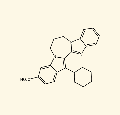 O=C(O)c1ccc2c(C3CCCCC3)c3n(c2c1)CCCn1c-3nc2ccccc21